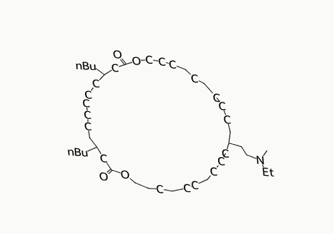 CCCCC1CCCCCCC(CCCC)CC(=O)OCCCCCCCCCCC(CCN(C)CC)CCCCCCCCCCOC(=O)C1